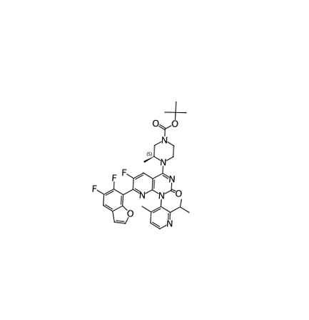 Cc1ccnc(C(C)C)c1-n1c(=O)nc(N2CCN(C(=O)OC(C)(C)C)C[C@@H]2C)c2cc(F)c(-c3c(F)c(F)cc4ccoc34)nc21